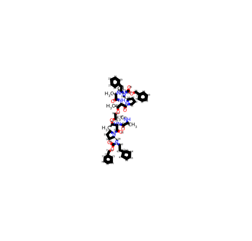 CN[C@@H](C)C(=O)N[C@H](C(=O)N1CCC[C@H]1CN(CCc1ccccc1)C(=O)OCc1ccccc1)[C@@H](C)OCCO[C@H](C)[C@H](NC(=O)[C@H](C)NC)C(=O)N1CCC[C@H]1CN(CCc1ccccc1)C(=O)OCc1ccccc1